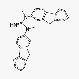 CN(C(=N)N(C)c1ccc2c(c1)Cc1ccccc1-2)c1ccc2c(c1)Cc1ccccc1-2